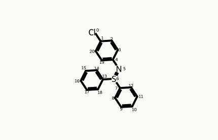 Clc1ccc(N=S(c2ccccc2)c2ccccc2)cc1